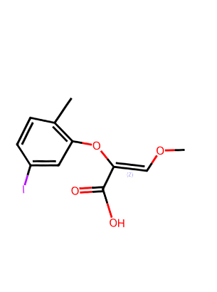 CO/C=C(\Oc1cc(I)ccc1C)C(=O)O